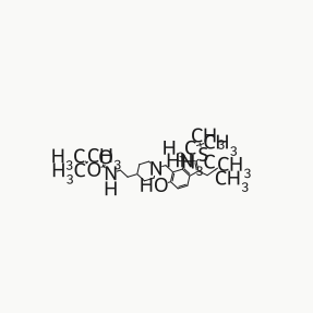 CC(C)(C)Cc1c(SC(C)(C)C)[nH]c2c(CN3CCC(CCNC(=O)OC(C)(C)C)CC3)c(O)ccc12